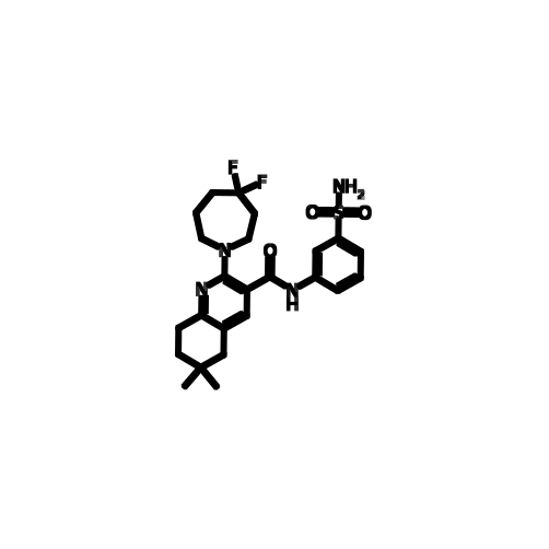 CC1(C)CCc2nc(N3CCCC(F)(F)CC3)c(C(=O)Nc3cccc(S(N)(=O)=O)c3)cc2C1